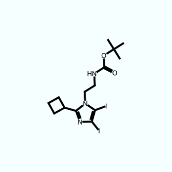 CC(C)(C)OC(=O)NCCn1c(C2CCC2)nc(I)c1I